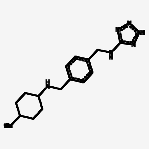 CC(C)(C)C1CCC(NCc2ccc(CNc3nn[nH]n3)cc2)CC1